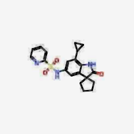 O=C1Nc2c(C3CC3)cc(NS(=O)(=O)c3ccccn3)cc2C12CCCC2